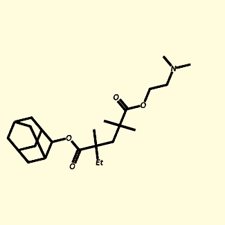 CCC(C)(CC(C)(C)C(=O)OCCN(C)C)C(=O)OC1C2CC3CC(C2)CC1C3